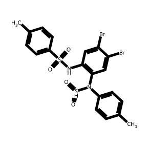 Cc1ccc(N(c2cc(Br)c(Br)cc2NS(=O)(=O)c2ccc(C)cc2)[SH](=O)=O)cc1